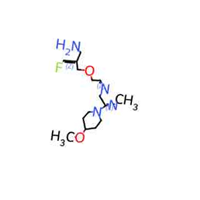 C/N=C(\C/N=C\COC/C(=C\F)CN)N1CCC(OC)CC1